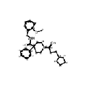 COc1ccccc1CNC(=O)C1(c2ccccc2)CCN(C(=O)CCC2CCCC2)CC1